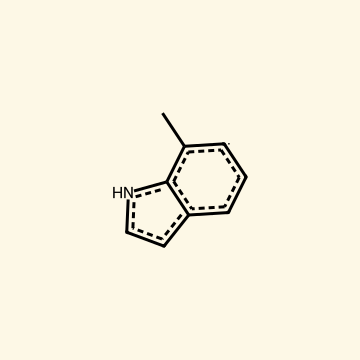 Cc1[c]ccc2cc[nH]c12